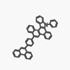 c1ccc(-n2c3ccccc3c3c4c5ccccc5c(-c5ccc(-c6cc7ccccc7c7ccccc67)cc5)cc4c4ccccc4c32)cc1